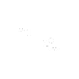 COC(=O)CCCCCOc1ccccc1C(=O)OC